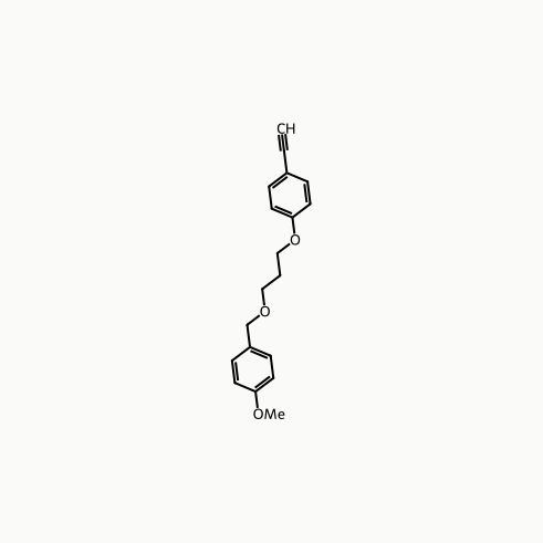 C#Cc1ccc(OCCCOCc2ccc(OC)cc2)cc1